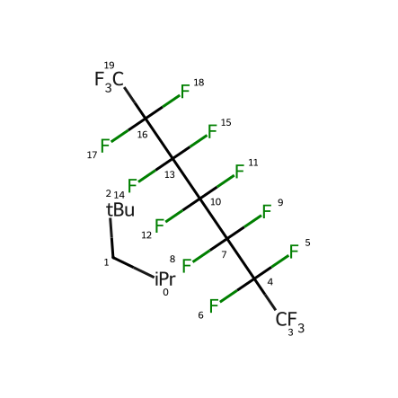 CC(C)CC(C)(C)C.FC(F)(F)C(F)(F)C(F)(F)C(F)(F)C(F)(F)C(F)(F)C(F)(F)F